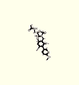 COc1ccc(-c2c(F)cc3c(c2F)CN2C(=O)O[C@@H](CNC(C)=O)[C@@H]2O3)cn1